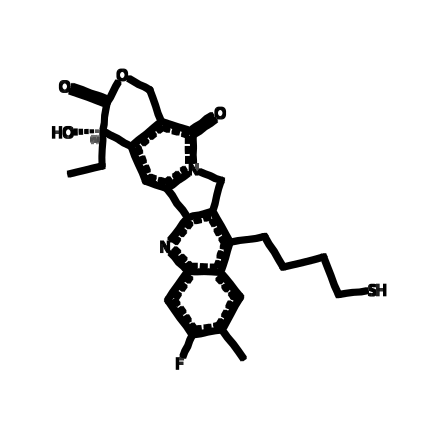 CC[C@@]1(O)C(=O)OCc2c1cc1n(c2=O)Cc2c-1nc1cc(F)c(C)cc1c2CCCCS